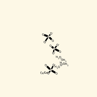 O.O.O.O.O.O=S(=O)([O-])[O-].O=S(=O)([O-])[O-].O=S(=O)([O-])[O-].[Ce+3].[Ce+3]